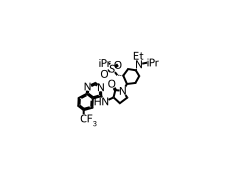 CCN(C(C)C)[C@@H]1CCC(N2CCC(Nc3ncnc4ccc(C(F)(F)F)cc34)C2=O)[C@H](CS(=O)(=O)C(C)C)C1